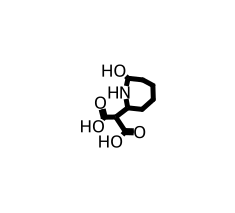 O=C(O)C(C(=O)O)C1CCCCC(O)N1